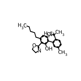 C=C(C)c1ccc(C)cc1-c1c(O)cc(CCCCC)c(C2=NCCO2)c1O